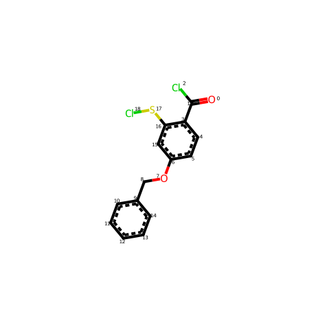 O=C(Cl)c1ccc(OCc2ccccc2)cc1SCl